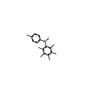 Cc1ccc(N(I)c2c(C)c(C)c(C)c(C)c2C)cc1